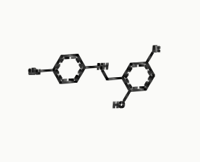 CCc1ccc(O)c(CNc2ccc(C(C)(C)C)cc2)c1